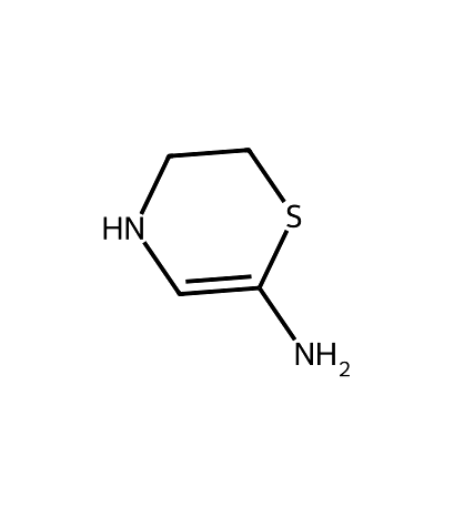 NC1=CNCCS1